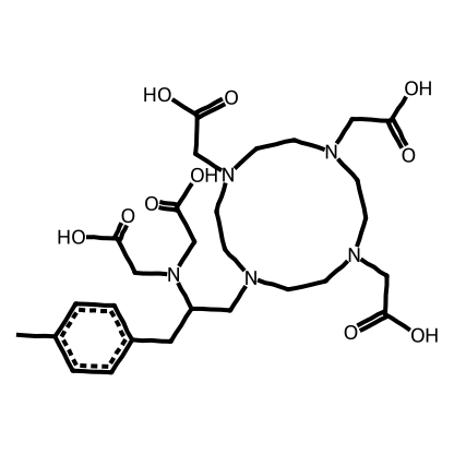 Cc1ccc(CC(CN2CCN(CC(=O)O)CCN(CC(=O)O)CCN(CC(=O)O)CC2)N(CC(=O)O)CC(=O)O)cc1